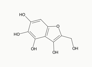 OCc1oc2cc(O)c(O)c(O)c2c1O